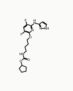 O=C(NCCCCOc1nc(Nc2cc[nH]n2)c(F)cc1F)OC1CCCC1